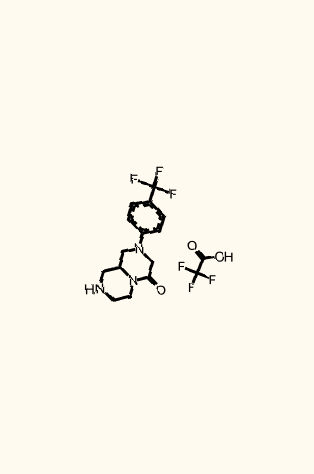 O=C(O)C(F)(F)F.O=C1CN(c2ccc(C(F)(F)F)cc2)CC2CNCCN12